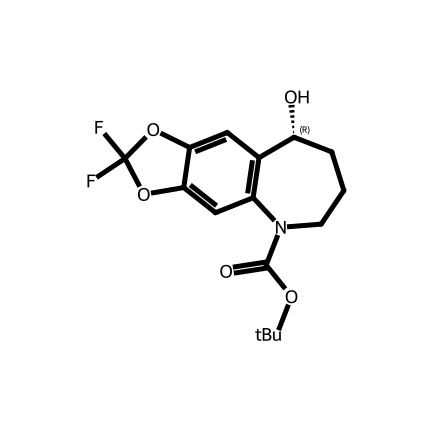 CC(C)(C)OC(=O)N1CCC[C@@H](O)c2cc3c(cc21)OC(F)(F)O3